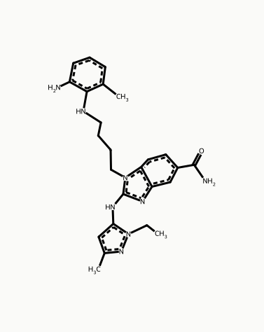 CCn1nc(C)cc1Nc1nc2cc(C(N)=O)ccc2n1CCCCNc1c(C)cccc1N